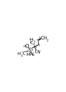 C=CCC(C)(C#N)S(C)(=N)=O